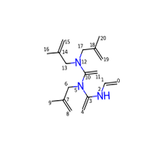 C=CNC(=C)N(CC(=C)C)C(=C)N(CC(=C)C)CC(=C)C